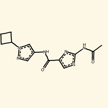 CC(=O)Nc1nc(C(=O)Nc2cnn(C3CCC3)c2)cs1